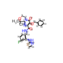 CC1(C)OCCn2c1nc(C(=O)NCc1ccc(F)cc1Nc1nccs1)c(OCc1ccccc1)c2=O